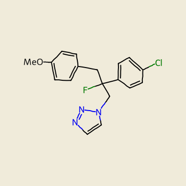 COc1ccc(CC(F)(Cn2ccnn2)c2ccc(Cl)cc2)cc1